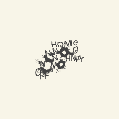 COc1cc(C(=O)NC(C)C)ccc1Nc1ncc2c(n1)N(C1CCCC1)CC(F)(F)C(=O)N2C